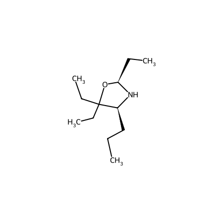 CCC[C@@H]1N[C@H](CC)OC1(CC)CC